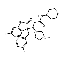 C[C@@H]1CC[C@@H](N(CC(=O)NN2CCOCC2)C2(Cc3cccc(Cl)c3)C(=O)Nc3cc(Cl)ccc32)C1